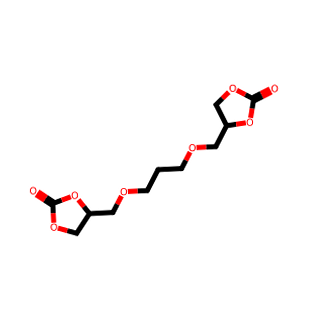 O=C1OCC(COCCCOCC2COC(=O)O2)O1